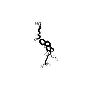 CC(C)CCC[C@@H](C)[C@H]1CCC2C3CC=C4C[C@@H](C([O])CCCCCO)CC[C@]4(C)C3CC[C@@]21C